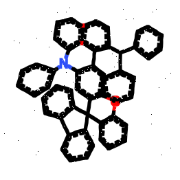 c1ccc(C(c2ccccc2)c2ccccc2-c2cc3c(cc2N(c2ccccc2)c2ccccc2)C2(c4ccccc4O3)c3ccccc3-c3ccccc32)cc1